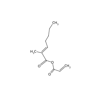 C=CC(=O)OC(=O)C(C)=CCCCC